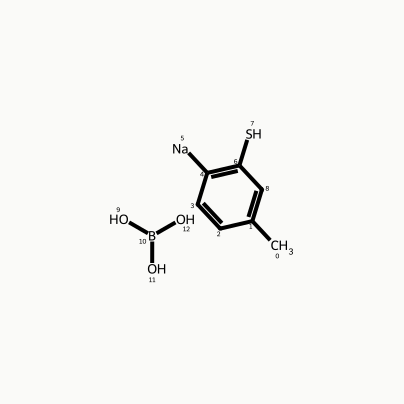 Cc1cc[c]([Na])c(S)c1.OB(O)O